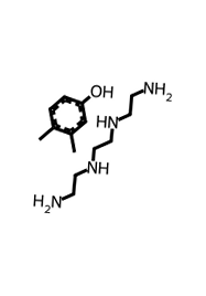 Cc1ccc(O)cc1C.NCCNCCNCCN